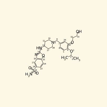 CC(C)Oc1ccc(CN2CCC(Nc3nc4cc(S(N)(=O)=O)ccc4o3)CC2)cc1OCCO